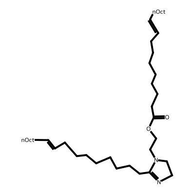 CCCCCCCCC=CCCCCCCCCC1=NCCN1CCOC(=O)CCCCCCCC=CCCCCCCCC